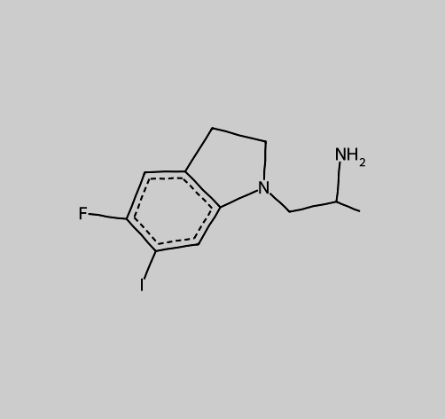 CC(N)CN1CCc2cc(F)c(I)cc21